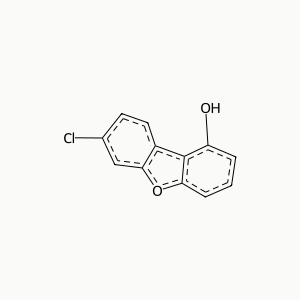 Oc1cccc2oc3cc(Cl)ccc3c12